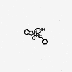 O=C(NCCc1ccccc1)C1(N2CCNCC2)Cc2ccccc2C1